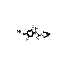 N#CCc1cc(F)c(NC(=S)N2CC3CC3C2)cc1F